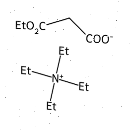 CCOC(=O)CC(=O)[O-].CC[N+](CC)(CC)CC